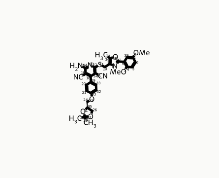 COc1ccc(OC)c(-c2nc(CSc3nc(N)c(C#N)c(-c4ccc(OC[C@H]5COC(C)(C)O5)cc4)c3C#N)c(C)o2)c1